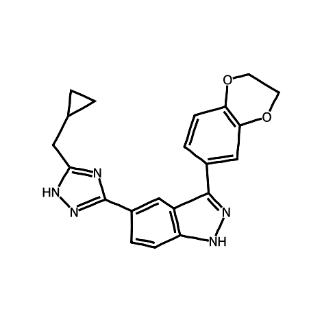 c1cc2[nH]nc(-c3ccc4c(c3)OCCO4)c2cc1-c1n[nH]c(CC2CC2)n1